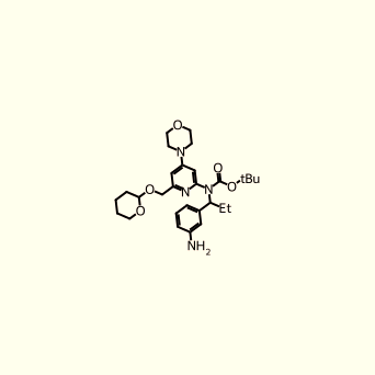 CCC(c1cccc(N)c1)N(C(=O)OC(C)(C)C)c1cc(N2CCOCC2)cc(COC2CCCCO2)n1